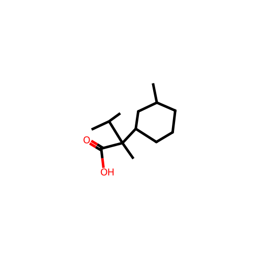 CC1CCCC(C(C)(C(=O)O)C(C)C)C1